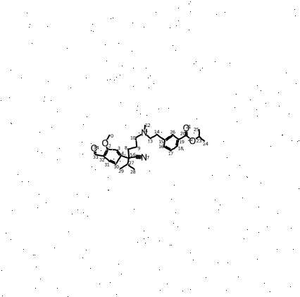 COc1cc(C(C#N)(CCCN(C)CCc2cccc(C(=O)OC(C)C)c2)C(C)C)ccc1C=O